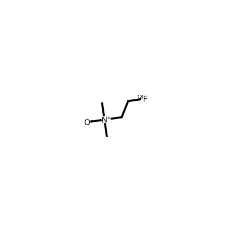 C[N+](C)([O-])CC[18F]